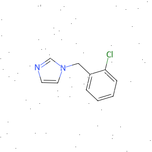 Clc1ccccc1Cn1ccnc1